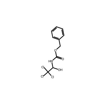 O=C(NC(O)C(Cl)(Cl)Cl)OCc1ccccc1